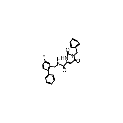 O=C(NCc1cc(F)ccc1-c1ccccc1)c1cc(=O)n(Cc2ccccc2)c(=O)[nH]1